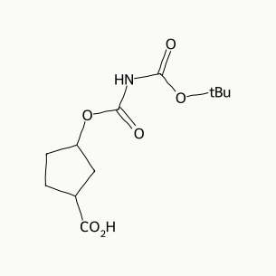 CC(C)(C)OC(=O)NC(=O)OC1CCC(C(=O)O)C1